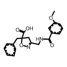 COc1cccc(C(=O)NCC2=NOC(Cc3ccccc3)(C(=O)O)C2)c1